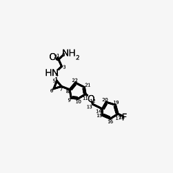 NC(=O)CN[C@H]1CC1c1ccc(OCc2ccc(F)cc2)cc1